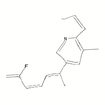 C=C(F)/C=C\C=C(/C)c1cnc(/C=C\C)c(C)c1